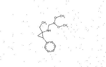 CCC1(NCN(OC)OC)CC1c1ccccc1